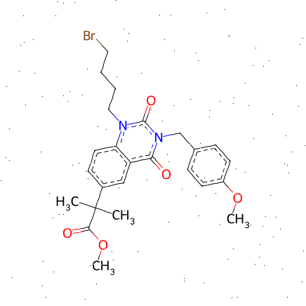 COC(=O)C(C)(C)c1ccc2c(c1)c(=O)n(Cc1ccc(OC)cc1)c(=O)n2CCCCBr